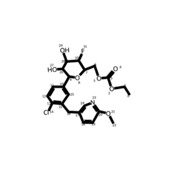 CCOC(=O)OCC1OC(c2ccc(Cl)c(Cc3ccc(OC)nc3)c2)C(O)C(O)C1F